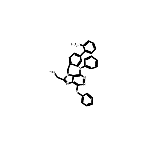 CC(C)(C)Cc1nc2c(Sc3ccccc3)nnc(Sc3ccccc3)c2n1Cc1ccc(-c2ccccc2C(=O)O)cc1